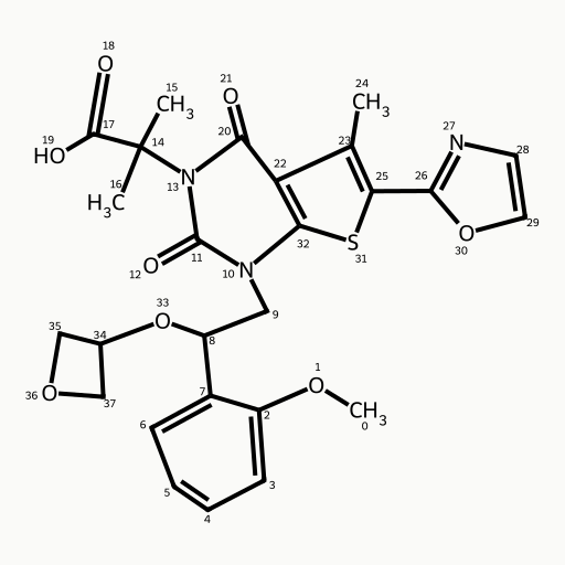 COc1ccccc1C(Cn1c(=O)n(C(C)(C)C(=O)O)c(=O)c2c(C)c(-c3ncco3)sc21)OC1COC1